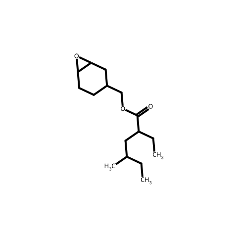 CCC(C)CC(CC)C(=O)OCC1CCC2OC2C1